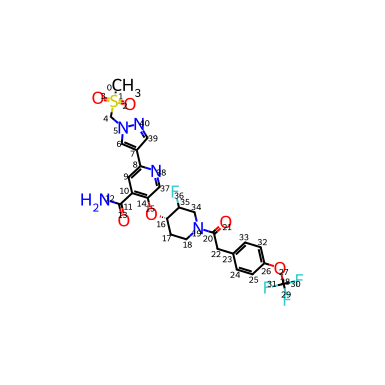 CS(=O)(=O)Cn1cc(-c2cc(C(N)=O)c(O[C@H]3CCN(C(=O)Cc4ccc(OC(F)(F)F)cc4)CC3F)cn2)cn1